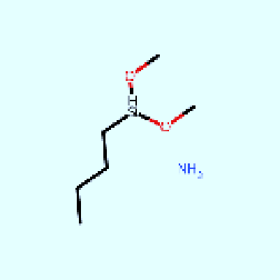 CCCC[SiH](OC)OC.N